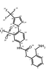 NCc1ccccc1CC(=O)Nc1ccc(-n2cc(C(F)(F)F)cn2)c(S(N)(=O)=O)c1